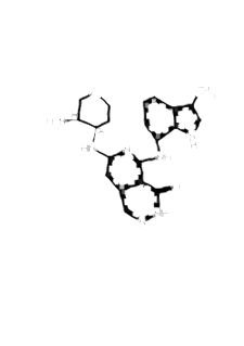 Cc1c[nH]c2c(Nc3nc(N[C@@H]4CCOC[C@@H]4N)cc4cn[nH]c(=O)c34)cccc12